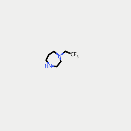 FC(F)(F)CN1CCCNCC1